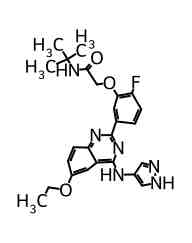 CCOc1ccc2nc(-c3ccc(F)c(OCC(=O)NC(C)(C)C)c3)nc(Nc3cn[nH]c3)c2c1